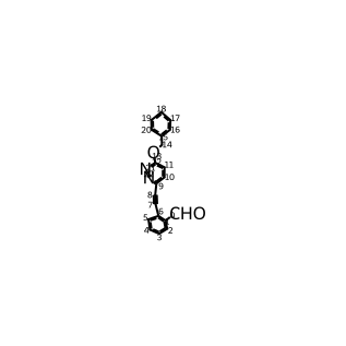 O=Cc1ccccc1C#Cc1ccc(OCc2ccccc2)nn1